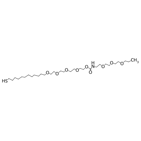 CCCOCCOCCOCCNC(=O)OCCOCCOCCOCCOCCCCCCCCCCCCS